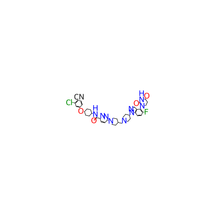 N#Cc1ccc(O[C@H]2CC[C@H](NC(=O)c3ccc(N4CCC(CN5CCC(n6ncc7c(N8CCC(=O)NC8=O)c(F)ccc76)CC5)CC4)nn3)CC2)cc1Cl